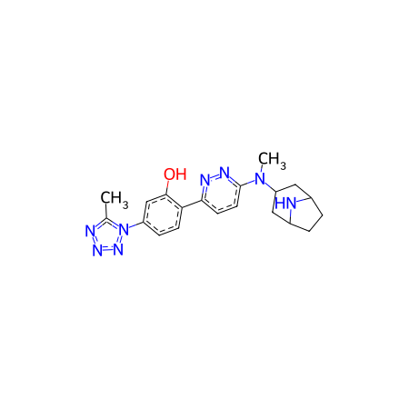 Cc1nnnn1-c1ccc(-c2ccc(N(C)C3CC4CCC(C3)N4)nn2)c(O)c1